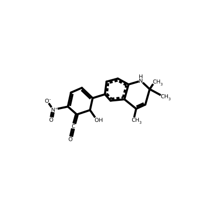 CC1=CC(C)(C)Nc2ccc(C3=CC=C([N+](=O)[O-])C(=C=O)C3O)cc21